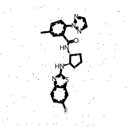 Cc1ccc(-n2nccn2)c(C(=O)N[C@H]2CCC[C@H]2Nc2nc3ccc(F)cc3s2)c1